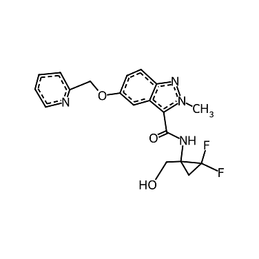 Cn1nc2ccc(OCc3ccccn3)cc2c1C(=O)NC1(CO)CC1(F)F